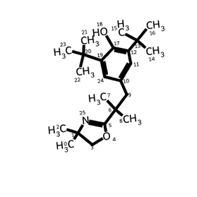 CC1(C)COC(C(C)(C)Cc2cc(C(C)(C)C)c(O)c(C(C)(C)C)c2)=N1